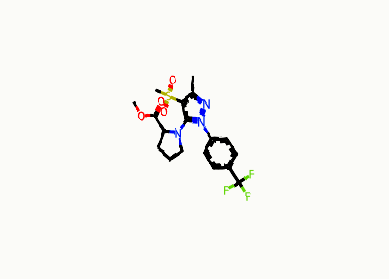 COC(=O)C1CCCN1c1c(S(C)(=O)=O)c(C)nn1-c1ccc(C(F)(F)F)cc1